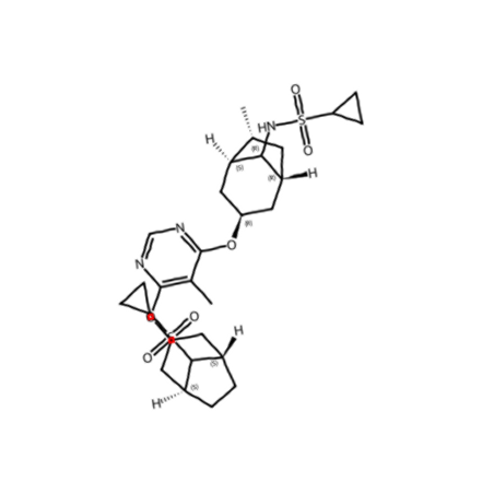 Cc1c(OC2C[C@@H]3CC[C@@H](C2)C3S(=O)(=O)C2CC2)ncnc1O[C@@H]1C[C@H]2C[C@@H](C)[C@H](C1)C2NS(=O)(=O)C1CC1